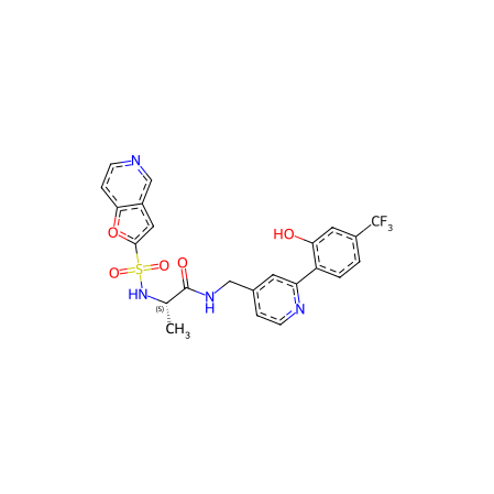 C[C@H](NS(=O)(=O)c1cc2cnccc2o1)C(=O)NCc1ccnc(-c2ccc(C(F)(F)F)cc2O)c1